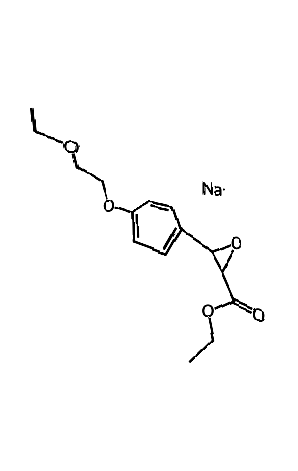 CCOCCOc1ccc(C2OC2C(=O)OCC)cc1.[Na]